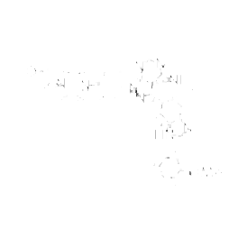 COc1ccccc1Cc1nc2ccc(-c3nn([C@H]4CC[C@H](N5CCN(CCO)CC5)CC4)c4ncnc(N)c34)cc2[nH]1